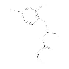 C=CC(=O)OC(CC)Oc1ccc(C(C)=O)cc1C